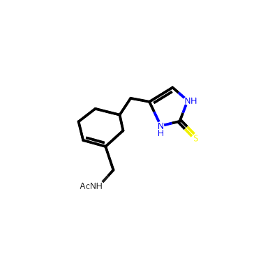 CC(=O)NCC1=CCCC(Cc2c[nH]c(=S)[nH]2)C1